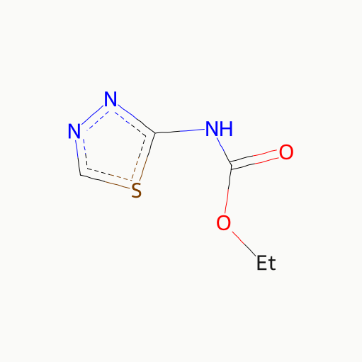 CCOC(=O)Nc1nncs1